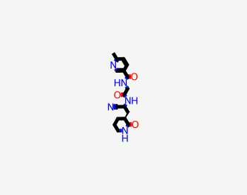 Cc1ccc(C(=O)NCC(=O)NC(C#N)C[C@@H]2CCCNC2=O)cn1